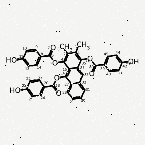 Cc1c(C)c(OC(=O)c2ccc(O)cc2)c2c(OC(=O)c3ccc(O)cc3)c3ccccc3cc2c1OC(=O)c1ccc(O)cc1